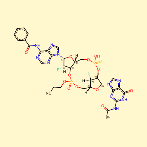 CC(C)C(=O)Nc1nc2c(ncn2[C@@H]2O[C@@H]3COP(=O)(OCCC#N)O[C@H]4[C@H](F)[C@H](n5cnc6c(NC(=O)c7ccccc7)ncnc65)O[C@@H]4COP(O)(=S)O[C@@H]2[C@@H]3F)c(=O)[nH]1